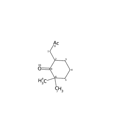 CC(=O)CC1CCCC(C)(C)C1=O